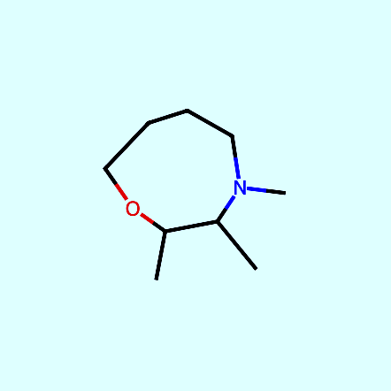 CC1OCCCCN(C)C1C